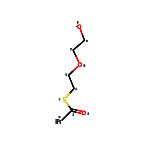 CC(C)C(=O)SCCOCC[O]